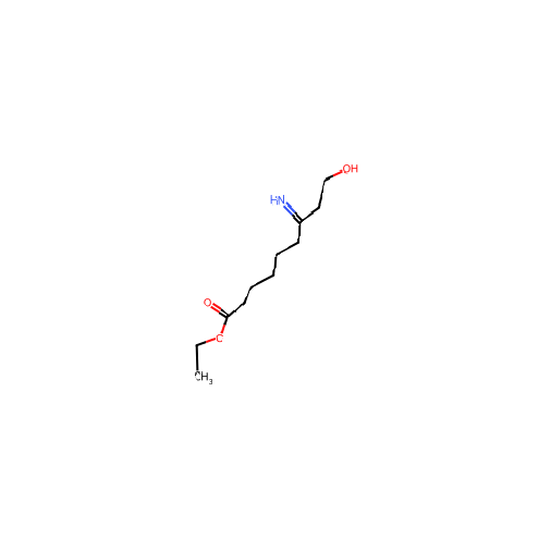 CCOC(=O)CCCCCC(=N)CCO